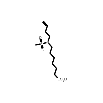 C=CCCN(CCCCCCC(=O)OCC)S(C)(=O)=O